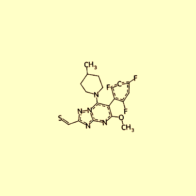 COc1nc2nc(C=S)nn2c(N2CCC(C)CC2)c1-c1c(F)cc(F)cc1F